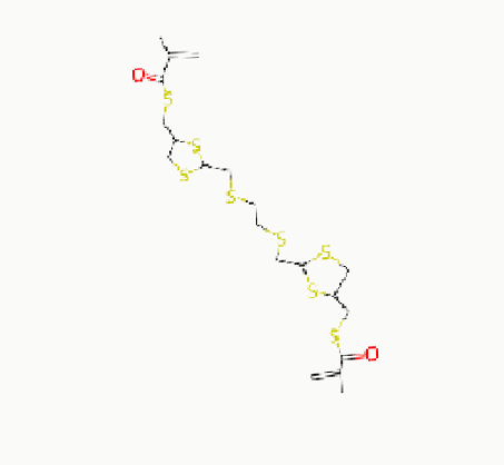 C=C(C)C(=O)SCC1CSC(CSCCSCC2SCC(CSC(=O)C(=C)C)S2)S1